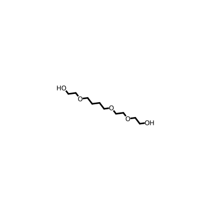 OCCOCCCCOCCOCCO